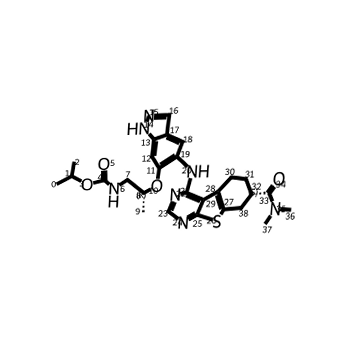 CC(C)OC(=O)NC[C@@H](C)Oc1cc2[nH]ncc2cc1Nc1ncnc2sc3c(c12)CC[C@H](C(=O)N(C)C)C3